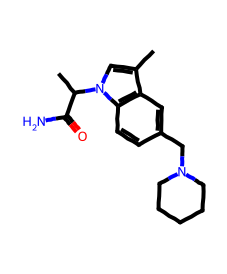 Cc1cn(C(C)C(N)=O)c2ccc(CN3CCCCC3)cc12